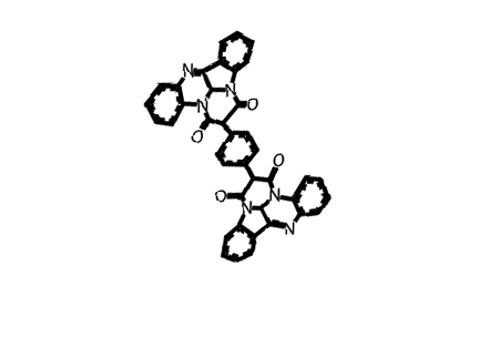 O=C1C(c2ccc(C3C(=O)N4c5ccccc5N=C5c6ccccc6N(C3=O)C54)cc2)C(=O)N2c3ccccc3C3=Nc4ccccc4N1C32